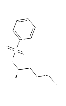 NCCC[C@@H](C=O)NS(=O)(=O)c1ccccc1